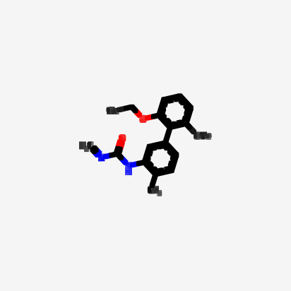 C=NC(=O)Nc1cc(-c2c(OC)cccc2OCC(C)(C)C)ccc1C